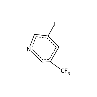 FC(F)(F)c1cncc(I)c1